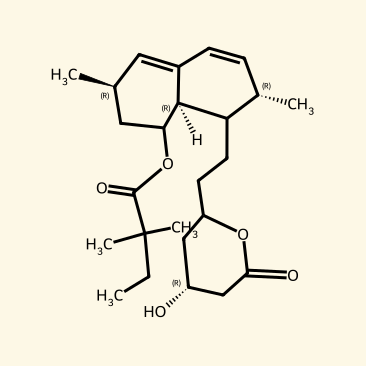 CCC(C)(C)C(=O)OC1C[C@@H](C)C=C2C=C[C@H](C)C(CCC3C[C@@H](O)CC(=O)O3)[C@H]21